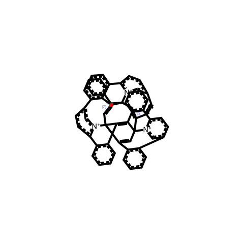 C1=C2c3ccccc3-c3ccc4[n+](c3)C13C(=C1C25c2ccccc2-c2ccc6c[n+]2C15/C=C(/c1ccccc1-6)C12/C=C\3c3ccccc3-c3ccc([n+]1c3)-c1ccccc1C2)c1ccccc1-4